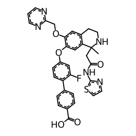 CC1(CC(=O)Nc2nccs2)NCCc2cc(OCc3ncccn3)c(Oc3ccc(-c4ccc(C(=O)O)cc4)c(F)c3)cc21